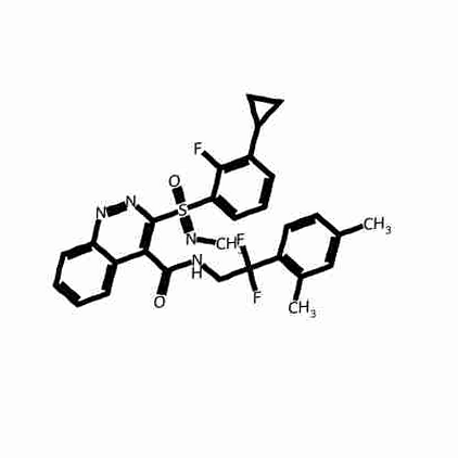 CN=S(=O)(c1cccc(C2CC2)c1F)c1nnc2ccccc2c1C(=O)NCC(F)(F)c1ccc(C)cc1C